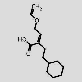 C=COCC=C(CCC1CCCCC1)C(=O)O